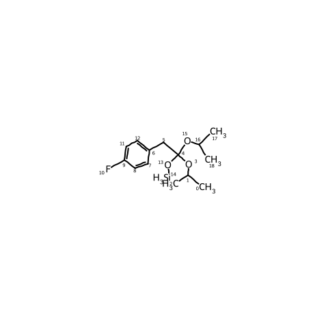 CC(C)OC(Cc1ccc(F)cc1)(O[SiH3])OC(C)C